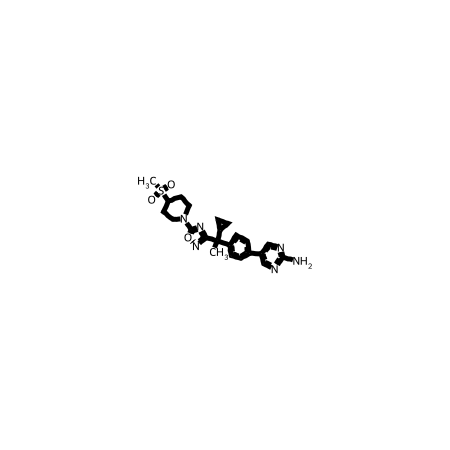 CC(c1ccc(-c2cnc(N)nc2)cc1)(c1noc(N2CCC(S(C)(=O)=O)CC2)n1)C1CC1